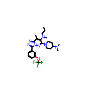 CCCN(C)c1c(N2CCC(N(C)C)CC2)nn2c(-c3cccc(OC(F)(F)F)c3)nnc2c1C